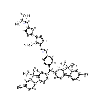 CCCCCCn1c(/C=C/c2ccc(N(c3ccc4c(c3)C(C)(C)c3cc(C(C)C)ccc3-4)c3ccc4c(c3)C(C)(C)c3cc(C(C)C)ccc3-4)cc2)ccc1-c1ccc(/C=C(\C#N)C(=O)O)s1